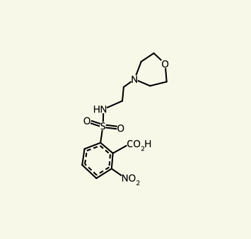 O=C(O)c1c([N+](=O)[O-])cccc1S(=O)(=O)NCCN1CCOCC1